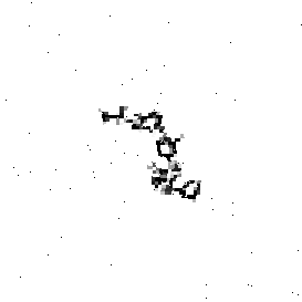 O=C(Nc1cn2nc(Oc3ccc(NC(=O)C4(C(=O)Nc5cccnc5)CC4)cc3F)ccc2n1)C1CC1